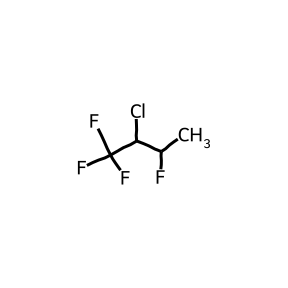 CC(F)C(Cl)C(F)(F)F